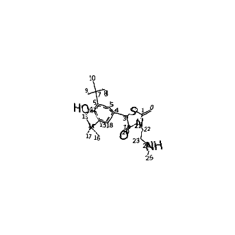 C=C1SC(c2cc(C(C)(C)C)c(O)c(C(C)(C)C)c2)C(=O)N1CCNC